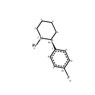 CC(C)N1CCCC[C@H]1c1ccc(F)cc1